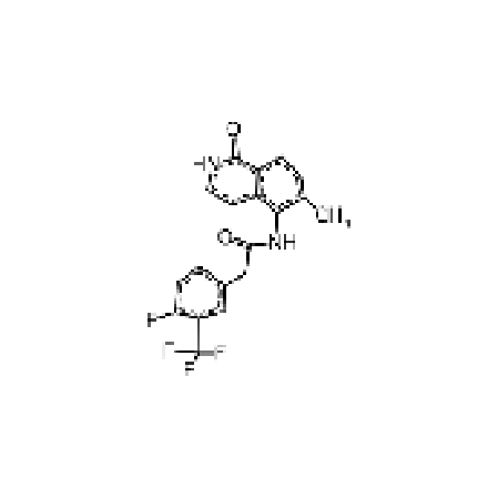 Cc1ccc2c(=O)[nH]ccc2c1NC(=O)Cc1ccc(F)c(C(F)(F)F)c1